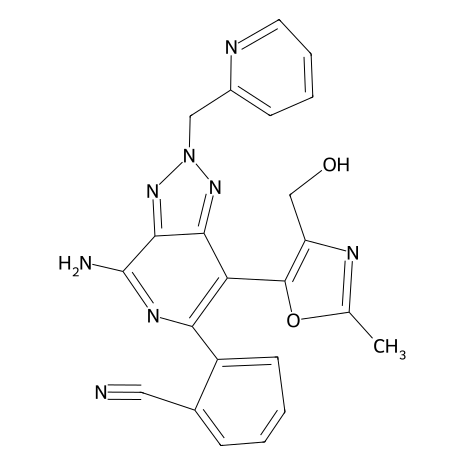 Cc1nc(CO)c(-c2c(-c3ccccc3C#N)nc(N)c3nn(Cc4ccccn4)nc23)o1